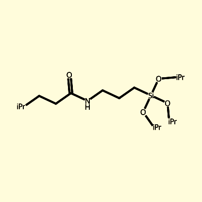 CC(C)CCC(=O)NCCC[Si](OC(C)C)(OC(C)C)OC(C)C